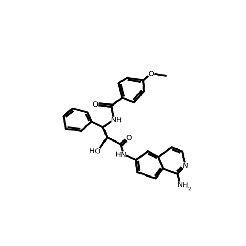 COc1ccc(C(=O)NC(c2ccccc2)C(O)C(=O)Nc2ccc3c(N)nccc3c2)cc1